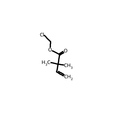 C=CC(C)(C)C(=O)OCCl